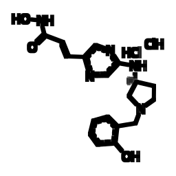 Cl.Cl.O=C(C=Cc1cnc(N[C@@H]2CCN(Cc3ccccc3O)C2)cn1)NO